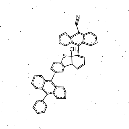 CC12Sc3ccc(-c4c5ccccc5c(-c5ccccc5)c5ccccc45)cc3C1C=CC=C2c1c2ccccc2c(C#N)c2ccccc12